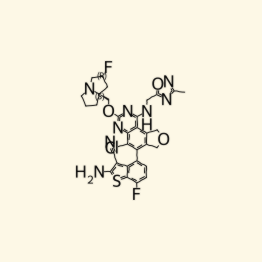 Cc1noc(CNc2nc(OC[C@@]34CCCN3C[C@H](F)C4)nc3c(Cl)c(-c4ccc(F)c5sc(N)c(C#N)c45)c4c(c23)COC4)n1